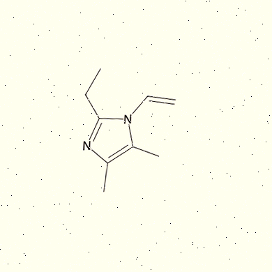 C=Cn1c(CC)nc(C)c1C